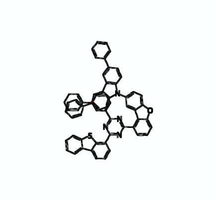 C1=CC(c2cccc(-c3nc(-c4cccc5c4sc4ccccc45)nc(-c4cccc5oc6ccc(-n7c8ccc(-c9ccccc9)cc8c8cc(-c9ccccc9)ccc87)cc6c45)n3)c2)=CCC1